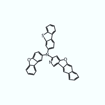 c1ccc2cc3c(cc2c1)oc1cc(N(c2ccc4c(c2)sc2ccccc24)c2ccc4oc5ccccc5c4c2)ncc13